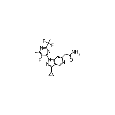 Cc1nc(C(C)(F)F)nc(-n2nc(C3CC3)c3cnc(CC(N)=O)cc32)c1F